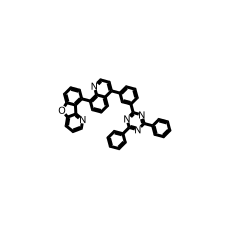 c1ccc(-c2nc(-c3ccccc3)nc(-c3cccc(-c4ccnc5c(-c6cccc7oc8cccnc8c67)cccc45)c3)n2)cc1